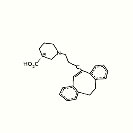 O=C(O)[C@@H]1CCCN(CCCC2=Cc3ccccc3CCc3ccccc32)C1